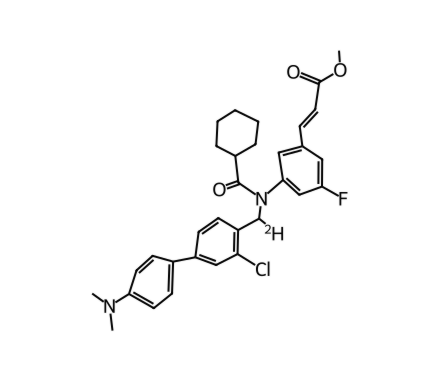 [2H]C(c1ccc(-c2ccc(N(C)C)cc2)cc1Cl)N(C(=O)C1CCCCC1)c1cc(F)cc(/C=C/C(=O)OC)c1